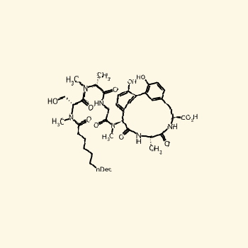 CCCCCCCCCCCCCCCC(=O)N(C)[C@H](CO)C(=O)N(C)[C@H](C)C(=O)NCC(=O)N(C)[C@@H]1C(=O)N[C@@H](C)C(=O)N[C@H](C(=O)O)Cc2ccc(O)c(c2)-c2cc1ccc2O